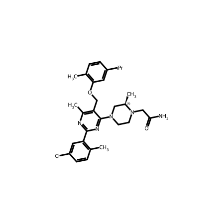 Cc1ccc(C(C)C)cc1OCc1c(C)nc(-c2cc(Cl)ccc2C)nc1N1CCN(CC(N)=O)[C@H](C)C1